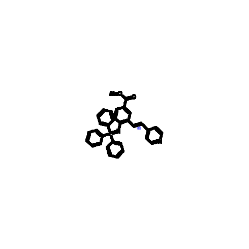 COC(=O)c1ccc(N=P(c2ccccc2)(c2ccccc2)c2ccccc2)c(/C=C/c2ccncc2)c1